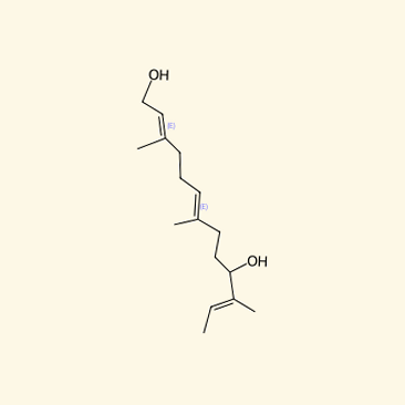 CC=C(C)C(O)CC/C(C)=C/CC/C(C)=C/CO